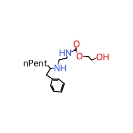 CCCCCC(Cc1ccccc1)NCCNC(=O)OCCO